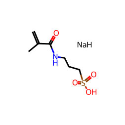 C=C(C)C(=O)NCCCS(=O)(=O)O.[NaH]